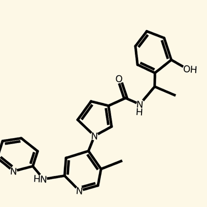 Cc1cnc(Nc2ccccn2)cc1-n1ccc(C(=O)NC(C)c2ccccc2O)c1